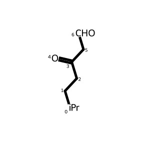 CC(C)CCC(=O)CC=O